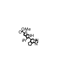 COC(=O)c1cc2c(C(C)C)c(-c3cn4ncnc4c4c3CCC4)[nH]c2s1